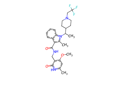 COc1cc(C)[nH]c(=O)c1CNC(=O)c1c(C)n(C(C)C2CCN(CC(F)(F)F)CC2)c2ccccc12